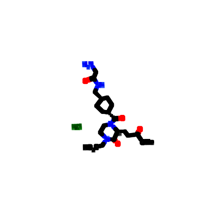 COC(=O)CC[C@H]1C(=O)N(CC(=O)O)CCN1C(=O)[C@H]1CC[C@H](CNC(=O)CN)CC1.Cl